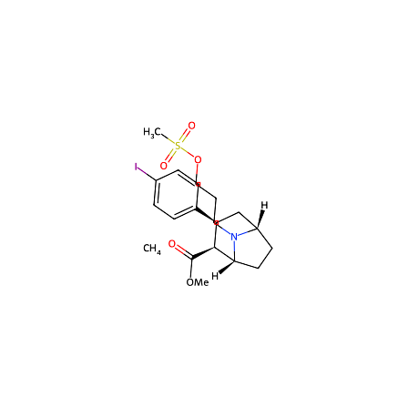 C.COC(=O)[C@H]1[C@@H](c2ccc(I)cc2)C[C@@H]2CC[C@H]1N2CCCOS(C)(=O)=O